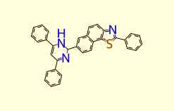 C1=C(c2ccccc2)NC(c2ccc3c(ccc4nc(-c5ccccc5)sc43)c2)N=C1c1ccccc1